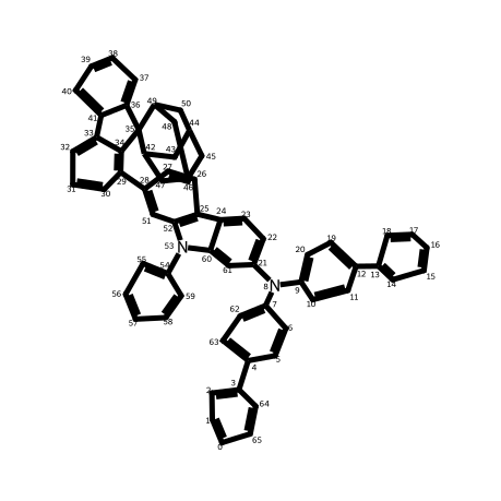 c1ccc(-c2ccc(N(c3ccc(-c4ccccc4)cc3)c3ccc4c5ccc(-c6cccc7c6C6(c8ccccc8-7)C7CC8CC(C7)CC6C8)cc5n(-c5ccccc5)c4c3)cc2)cc1